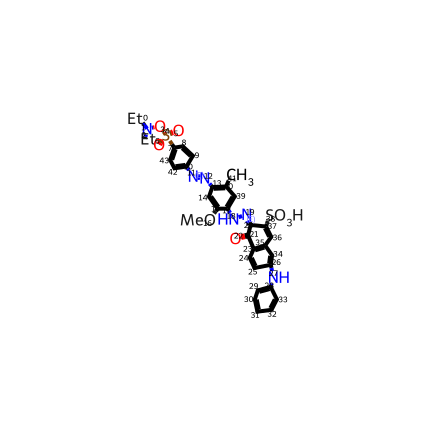 CCN(CC)OS(=O)(=O)c1ccc(/N=N/c2cc(OC)c(N/N=C3\C(=O)c4ccc(Nc5ccccc5)cc4C=C3S(=O)(=O)O)cc2C)cc1